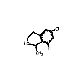 CC1NCCc2cc(Cl)cc(Cl)c21